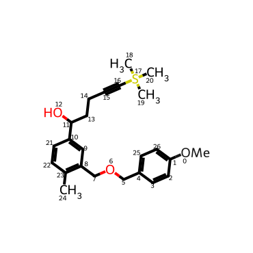 COc1ccc(COCc2cc(C(O)CCC#CS(C)(C)C)ccc2C)cc1